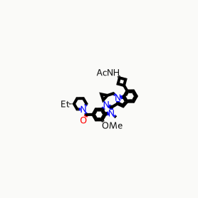 CC[C@@H]1CCCN(C(=O)c2cc(OC)c3c(c2)nc(-c2cc4cccc(C5CC(NC(C)=O)C5)c4n2CC2CC2)n3C)C1